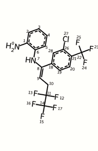 Nc1ccccc1NC(=CCC(F)(F)C(F)(F)F)c1ccc(C(F)(F)F)c(Cl)c1